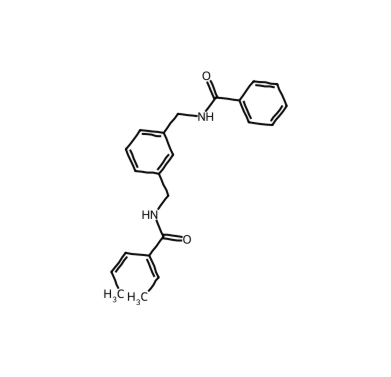 C/C=C\C(=C/C)C(=O)NCc1cccc(CNC(=O)c2ccccc2)c1